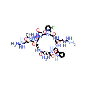 CC(=O)N[C@@H](CCCNC(=N)N)C(=O)N[C@H]1CCCNC(=O)CCC(C(N)=O)NC(=O)[C@H](Cc2c[nH]c3ccccc23)NC(=O)[C@H](CCCNC(=N)N)NC(=O)[C@@H](Cc2ccccc2Cl)NC(=O)[C@H](CC(N)=O)NC1=O